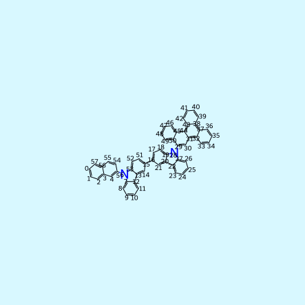 c1ccc2cc(-n3c4ccccc4c4cc(-c5ccc6c(c5)c5ccccc5n6-c5cc6c7ccccc7c7ccccc7c6c6ccccc56)ccc43)ccc2c1